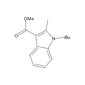 CCC(C)n1c(C)c(C(=O)OC)c2ccccc21